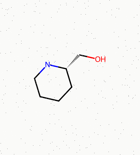 OC[C@@H]1CCCC[N]1